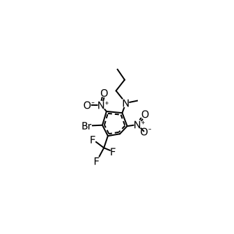 CCCN(C)c1c([N+](=O)[O-])cc(C(F)(F)F)c(Br)c1[N+](=O)[O-]